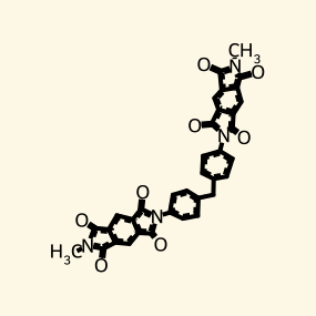 Cn1c(=O)c2cc3c(=O)n(-c4ccc(Cc5ccc(-n6c(=O)c7cc8c(=O)n(C)c(=O)c8cc7c6=O)cc5)cc4)c(=O)c3cc2c1=O